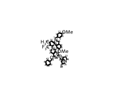 COc1ccc(CN(Cc2ccc(OC)cc2)c2cc(C)c(C(F)(F)F)c(N3CCc4c(nc(OC[C@@]56CCCN5C[C@H](F)C6)nc4OCc4ccccc4)C3)n2)cc1